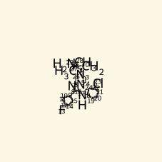 C=C(N1CCn2c(nc(-c3ccc(F)cc3)c2Nc2cccc(Cl)c2)C1)C(C)(C)N